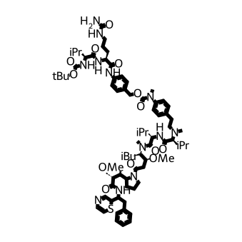 CC[C@H](C)[C@@H]([C@@H](CC(=O)N1CCCC1[C@H](OC)[C@@H](C)C(=O)NC(Cc1ccccc1)C1C=NC=CS1)OC)N(C)C(=O)[C@@H](NC(=O)[C@H](C(C)C)N(C)CCc1ccc(N(C)C(=O)OCc2ccc(NC(=O)[C@H](CCCNC(N)=O)NC(=O)[C@@H](NC(=O)OC(C)(C)C)C(C)C)cc2)cc1)C(C)C